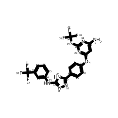 Nc1cc(Oc2ccc(-c3nnc(Nc4cccc(C(F)(F)F)c4)[nH]3)cc2)nc(SC(F)(F)F)n1